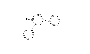 [O-][n+]1cnc(-c2ccc(F)cc2)cc1-c1ccccc1